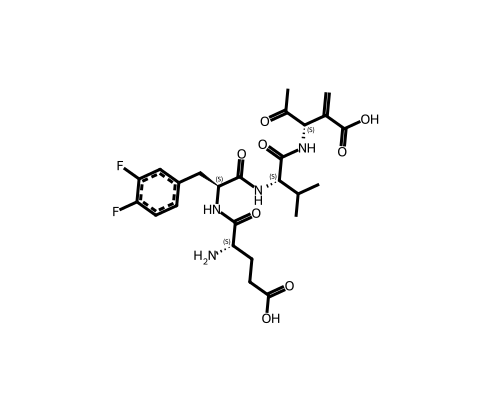 C=C(C(=O)O)[C@H](NC(=O)[C@@H](NC(=O)[C@H](Cc1ccc(F)c(F)c1)NC(=O)[C@@H](N)CCC(=O)O)C(C)C)C(C)=O